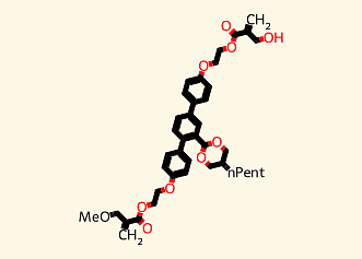 C=C(CO)C(=O)OCCOc1ccc(-c2ccc(-c3ccc(OCCOC(=O)C(=C)COC)cc3)c(C3OCC(CCCCC)CO3)c2)cc1